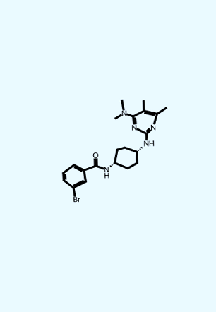 Cc1nc(N[C@H]2CC[C@@H](NC(=O)c3cccc(Br)c3)CC2)nc(N(C)C)c1C